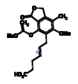 C=C(OCC(C)C)Oc1c(C/C=C/CCC(=O)O)c(OC)c(C)c2c1C(=O)OC2